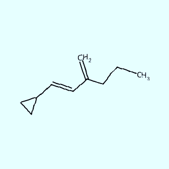 C=C(/C=C/C1CC1)CCC